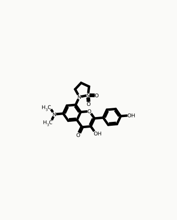 CN(C)c1cc(N2CCCS2(=O)=O)c2oc(-c3ccc(O)cc3)c(O)c(=O)c2c1